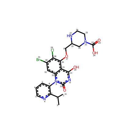 CC(C)c1ncccc1-n1c(=O)nc(O)c2c(OCC3CN(C(=O)O)CCN3)c(Cl)c(Br)cc21